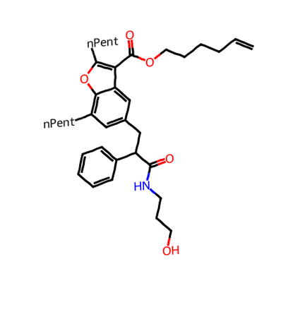 C=CCCCCOC(=O)c1c(CCCCC)oc2c(CCCCC)cc(CC(C(=O)NCCCO)c3ccccc3)cc12